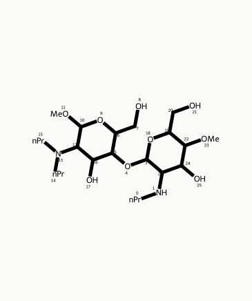 CCCNC1C(OC2C(CO)OC(OC)C(N(CCC)CCC)C2O)OC(CO)C(OC)C1O